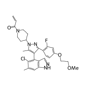 C=CC(=O)N1CCC(n2nc(-c3ccc(OCCOC)cc3F)c(-c3c(Cl)c(C)cc4[nH]ncc34)c2C)CC1